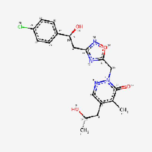 Cc1c(C[C@H](C)O)cnn(Cc2nc(C[C@H](O)c3ccc(Cl)cc3)no2)c1=O